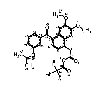 COc1cc2c(CC(=O)OC(=O)C(F)(F)F)cnc(C(=O)c3cccc(OC(C)C)c3)c2cc1OC